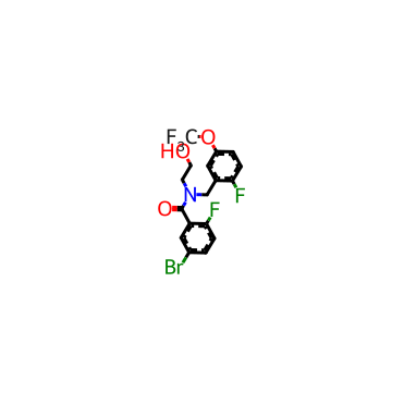 O=C(c1cc(Br)ccc1F)N(CCO)Cc1cc(OC(F)(F)F)ccc1F